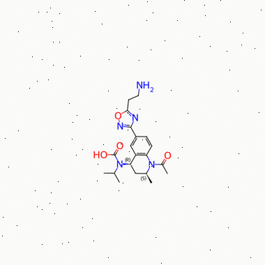 CC(=O)N1c2ccc(-c3noc(CCN)n3)cc2[C@H](N(C(=O)O)C(C)C)C[C@@H]1C